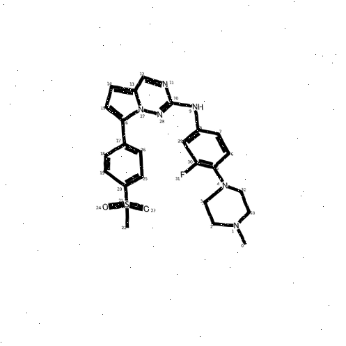 CN1CCN(c2ccc(Nc3ncc4ccc(-c5ccc(S(C)(=O)=O)cc5)n4n3)cc2F)CC1